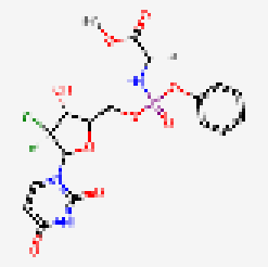 CC(C)OC(=O)[C@H](C)NP(=O)(OC[C@H]1OC(n2ccc(=O)[nH]c2=O)[C@@](F)(Cl)[C@@H]1O)Oc1ccccc1